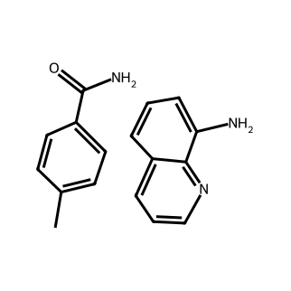 Cc1ccc(C(N)=O)cc1.Nc1cccc2cccnc12